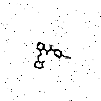 COc1ccc(C(=N)Nc2ccccc2CCC2CCCCN2C)cc1